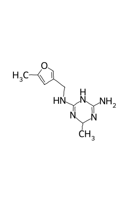 Cc1cc(CNC2=NC(C)N=C(N)N2)co1